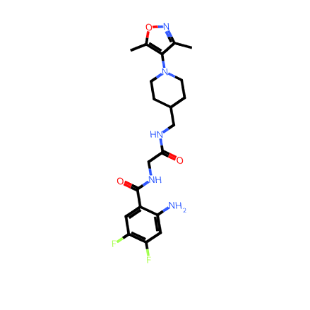 Cc1noc(C)c1N1CCC(CNC(=O)CNC(=O)c2cc(F)c(F)cc2N)CC1